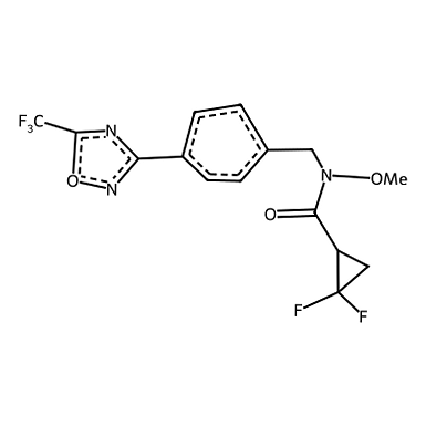 CON(Cc1ccc(-c2noc(C(F)(F)F)n2)cc1)C(=O)C1CC1(F)F